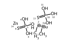 CCC(C)C.CCC(C)C.OP(O)(O)=S.OP(O)(O)=S.[Zn]